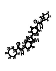 O=C(NC1CC2CCC1C2)c1ccc(-c2nc3cc(NC(=O)C4CCCCCC4)ccc3[nH]2)cc1